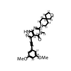 COc1cc(C#Cc2n[nH]c3nc(N4CCC5(CCOC5)CC4)n(C)c(=O)c23)cc(OC)c1